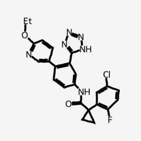 CCOc1ccc(-c2ccc(NC(=O)C3(c4cc(Cl)ccc4F)CC3)cc2-c2nnn[nH]2)cn1